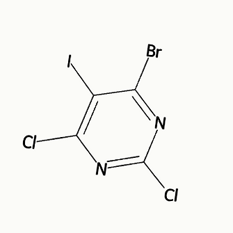 Clc1nc(Cl)c(I)c(Br)n1